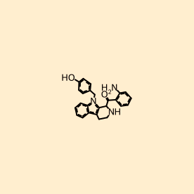 Nc1ccccc1C(=O)C1NCCc2c1n(Cc1ccc(O)cc1)c1ccccc21